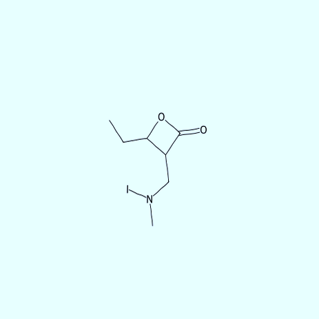 CCC1OC(=O)C1CN(C)I